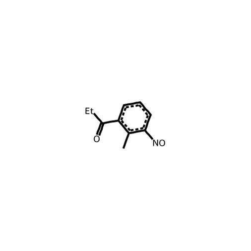 CCC(=O)c1cccc(N=O)c1C